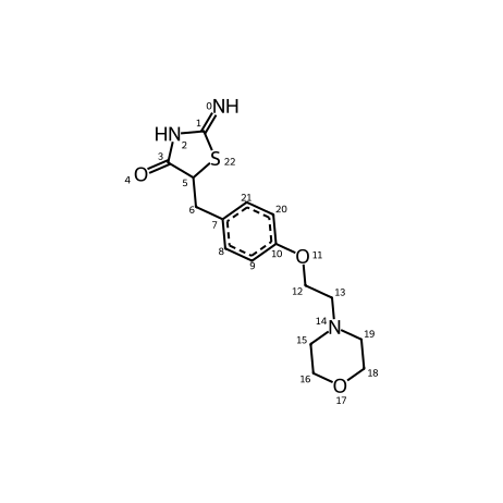 N=C1NC(=O)C(Cc2ccc(OCCN3CCOCC3)cc2)S1